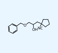 N#CC1(CC(O)COCc2ccccc2)CCCC1